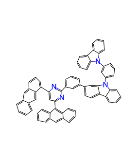 c1cc(-c2ccc3c4ccccc4n(-c4cccc(-n5c6ccccc6c6ccccc65)c4)c3c2)cc(-c2nc(-c3cccc4cc5ccccc5cc34)cc(-c3c4ccccc4cc4ccccc34)n2)c1